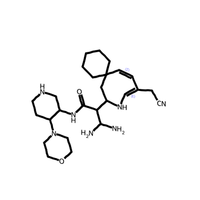 N#CCC1=C\NC(C(C(=O)NC2CNCCC2N2CCOCC2)C(N)N)CC2(/C=C\1)CCCCC2